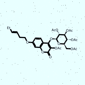 CC/C=C/CCOc1ccc2c(O[C@@H]3O[C@H](COC(C)=O)[C@@H](OC(C)=O)[C@H](OC(C)=O)[C@H]3OC(C)=O)c(OC(C)=O)c(=O)oc2c1